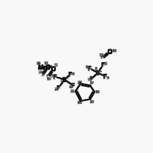 F[B-](F)(F)F.F[B-](F)(F)F.[C]=O.[C]=O.[C]=O.[Mn+2].c1ccccc1